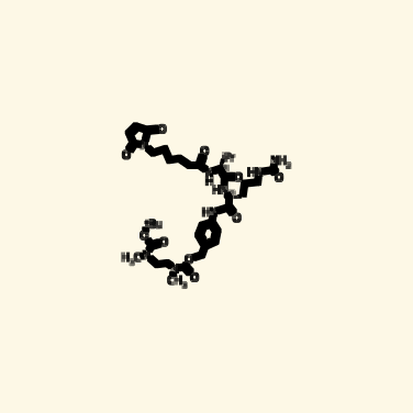 CC(C)[C@@H](NC(=O)CCCCCN1C(=O)C=CC1=O)C(=O)N[C@H](CCCNC(N)=O)C(=O)Nc1ccc(COC(=O)N(C)CCN(C)C(=O)OC(C)(C)C)cc1